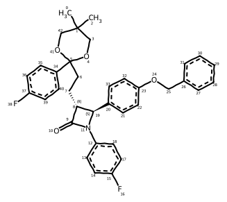 CC1(C)COC(CC[C@H]2C(=O)N(c3ccc(F)cc3)[C@@H]2c2ccc(OCc3ccccc3)cc2)(c2ccc(F)cc2)OC1